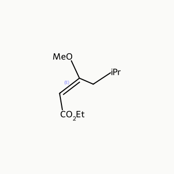 CCOC(=O)/C=C(\CC(C)C)OC